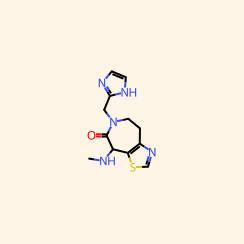 CNC1C(=O)N(Cc2ncc[nH]2)CCc2ncsc21